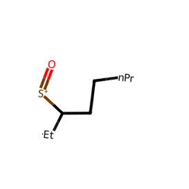 C[CH]C(CCCCC)[S+]=O